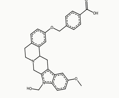 COc1ccc2c(c1)c1c(n2CO)CN2CCc3ccc(OCc4ccc(C(=O)O)cc4)cc3C2C1